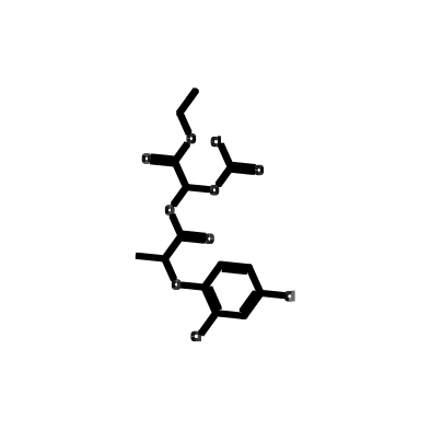 CCOC(=O)C(OC(=O)Cl)OC(=O)C(C)Oc1ccc(Cl)cc1Cl